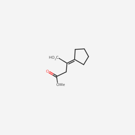 COC(=O)CC(C(=O)O)=C1CCCC1